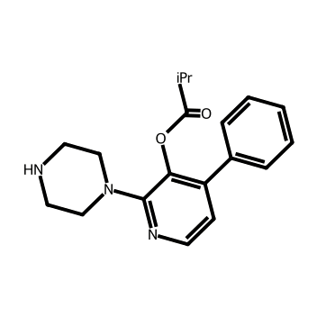 CC(C)C(=O)Oc1c(-c2ccccc2)ccnc1N1CCNCC1